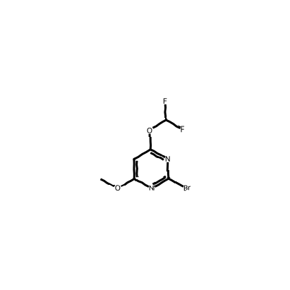 COc1cc(OC(F)F)nc(Br)n1